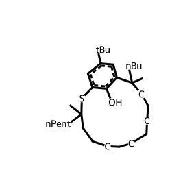 CCCCCC1(C)CCCCCCCCCC(C)(CCCC)c2cc(C(C)(C)C)cc(c2O)S1